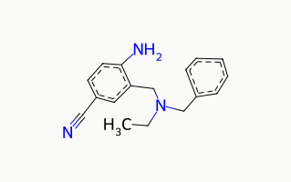 CCN(Cc1ccccc1)Cc1cc(C#N)ccc1N